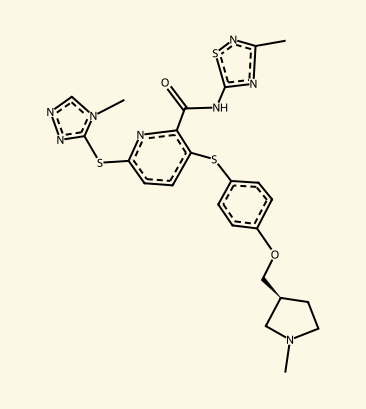 Cc1nsc(NC(=O)c2nc(Sc3nncn3C)ccc2Sc2ccc(OC[C@H]3CCN(C)C3)cc2)n1